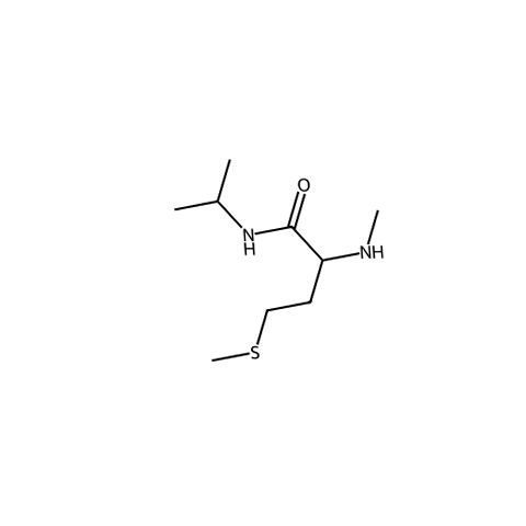 CNC(CCSC)C(=O)NC(C)C